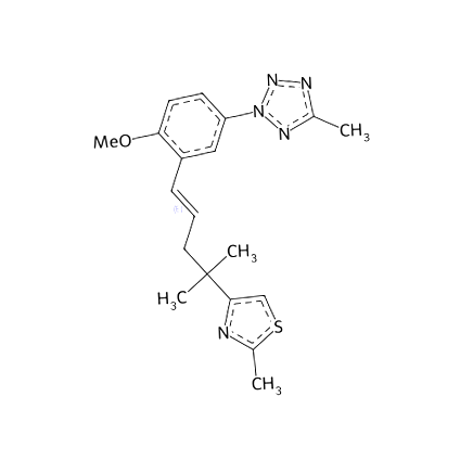 COc1ccc(-n2nnc(C)n2)cc1/C=C/CC(C)(C)c1csc(C)n1